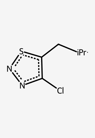 C[C](C)Cc1snnc1Cl